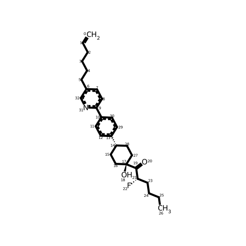 C=CCCCCc1ccc(-c2ccc([C@H]3CC[C@@](O)(C(=O)[C@@H](F)CCCC)CC3)cc2)nc1